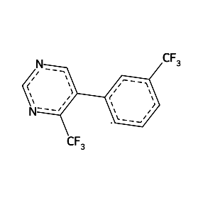 FC(F)(F)c1cc[c]c(-c2cncnc2C(F)(F)F)c1